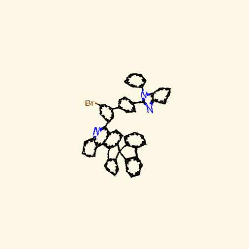 Brc1cc(-c2ccc(-c3nc4ccccc4n3-c3ccccc3)cc2)cc(-c2nc3ccccc3c3c4c(ccc23)C2(c3ccccc3-c3ccccc32)c2ccccc2-4)c1